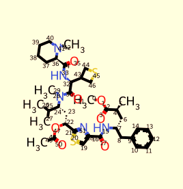 COC(=O)[C@@H](C)C[C@H](Cc1ccccc1)NC(=O)c1csc([C@@H](C[C@H](C(C)C)N(C)C(=O)[C@@H](NC(=O)[C@H]2CCCCN2C)C2CSC2)OC(C)=O)n1